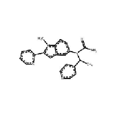 CC(c1ccncc1)N(C(N)=O)c1ccc2c(c1)cc(-c1ccccn1)n2C